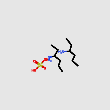 CCCC(N)CC.CCCC(N)CC.O=S(=O)(O)O